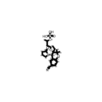 CCC1(OCCC(C)OP(=O)(O)O)[C@H](N2CCCC2=O)c2cc(C#N)ccc2OC1(C)C